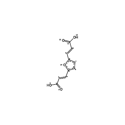 O=C(O)/C=C/c1ccc(/C=C/C(=O)O)o1